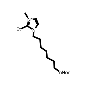 CCCCCCCCCCCCCCCCn1cc[n+](C)c1CC